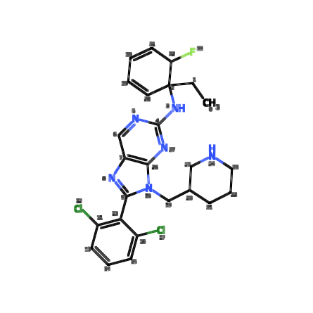 CCC1(Nc2ncc3nc(-c4c(Cl)cccc4Cl)n(CC4CCCNC4)c3n2)C=CC=CC1F